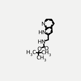 CC(C)(C)OC(=O)NCc1cc2cccnc2[nH]1